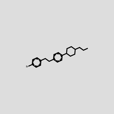 CCCC1CCC(c2ccc(CCc3ccc(Br)cc3)cc2)CC1